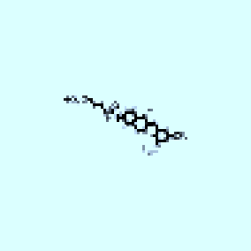 O=C(O)CCCCC(=O)Nc1ccc2c(c1)CC/C(=C\c1cc(C(F)(F)F)cc(C(F)(F)F)c1)C2=O